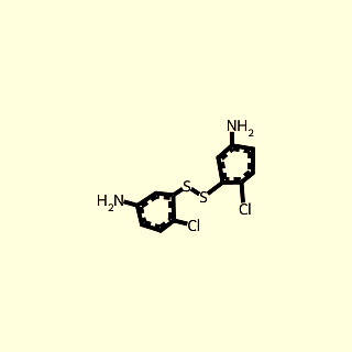 Nc1ccc(Cl)c(SSc2cc(N)ccc2Cl)c1